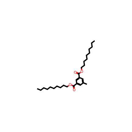 CCCCCCCCCCOC(=O)c1cc(C)cc(C(=O)OCCCCCCCCCC)c1